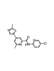 Cc1cc(-c2cnc(C)s2)cc(C(=O)Nc2ccc(Cl)cn2)n1